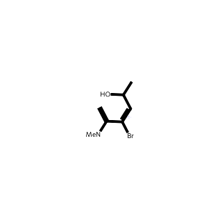 C=C(NC)/C(Br)=C\C(C)O